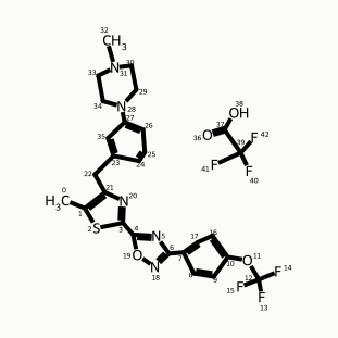 Cc1sc(-c2nc(-c3ccc(OC(F)(F)F)cc3)no2)nc1Cc1cccc(N2CCN(C)CC2)c1.O=C(O)C(F)(F)F